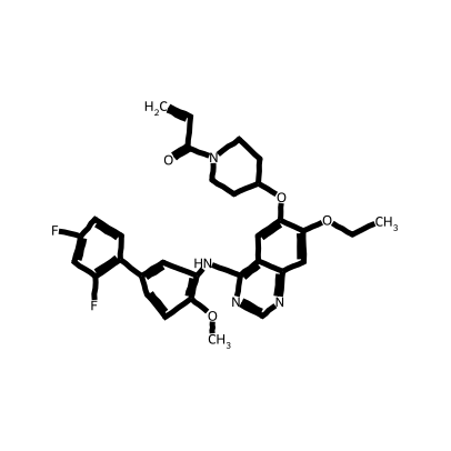 C=CC(=O)N1CCC(Oc2cc3c(Nc4cc(-c5ccc(F)cc5F)ccc4OC)ncnc3cc2OCC)CC1